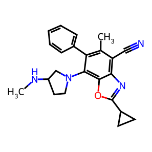 CNC1CCN(c2c(-c3ccccc3)c(C)c(C#N)c3nc(C4CC4)oc23)C1